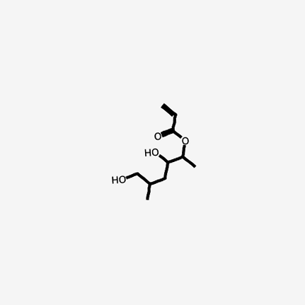 C=CC(=O)OC(C)C(O)CC(C)CO